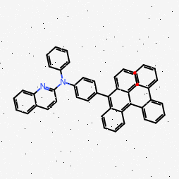 c1ccc(-c2ccccc2-c2c3ccccc3c(-c3ccc(N(c4ccccc4)c4ccc5ccccc5n4)cc3)c3ccccc23)cc1